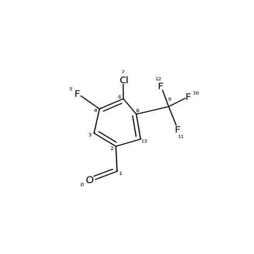 O=Cc1cc(F)c(Cl)c(C(F)(F)F)c1